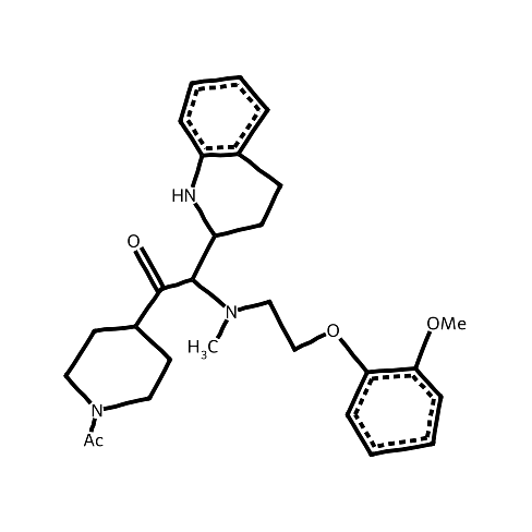 COc1ccccc1OCCN(C)C(C(=O)C1CCN(C(C)=O)CC1)C1CCc2ccccc2N1